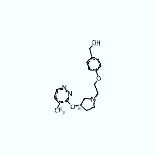 OCc1ccc(OCCN2CC[C@@H](Oc3nnccc3C(F)(F)F)C2)cc1